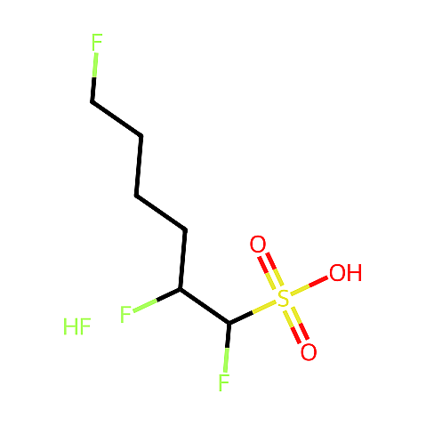 F.O=S(=O)(O)C(F)C(F)CCCCF